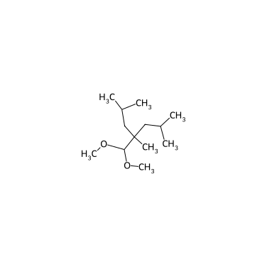 COC(OC)C(C)(CC(C)C)CC(C)C